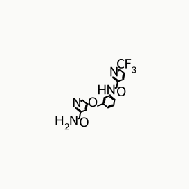 NC(=O)c1cncc(OCc2cccc(NC(=O)c3ccc(C(F)(F)F)nc3)c2)c1